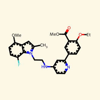 CCOc1ccc(-c2cc(NCCn3c(C)cc4c(OC)ccc(F)c43)ccn2)cc1C(=O)OC